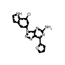 Nc1nc(-c2ccco2)c2nnn(-c3cc(Cl)c4[nH]ccc4c3)c2n1